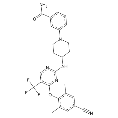 Cc1cc(C#N)cc(C)c1Oc1nc(NC2CCN(c3cccc(C(N)=O)c3)CC2)ncc1C(F)(F)F